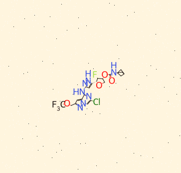 O=C(NC12CC(C1)C2)O[C@@H]1CO[C@H](c2cc(Nc3nc(Cl)cn4nc(COC(F)(F)F)cc34)n[nH]2)[C@H]1F